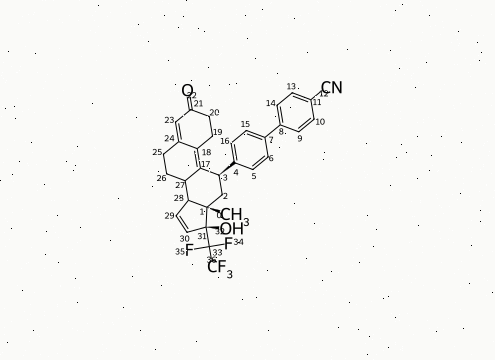 C[C@]12C[C@H](c3ccc(-c4ccc(C#N)cc4)cc3)C3=C4CCC(=O)C=C4CCC3C1C=C[C@@]2(O)C(F)(F)C(F)(F)F